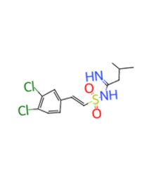 CC(C)CC(=N)NS(=O)(=O)C=Cc1ccc(Cl)c(Cl)c1